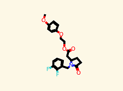 COc1ccc(OCCOC(=O)CC2CCC(=O)N2Cc2cccc(F)c2F)cc1